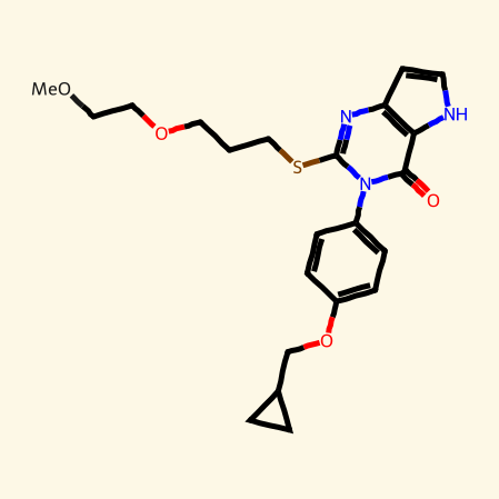 COCCOCCCSc1nc2cc[nH]c2c(=O)n1-c1ccc(OCC2CC2)cc1